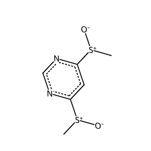 C[S+]([O-])c1cc([S+](C)[O-])ncn1